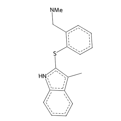 CNCc1ccccc1Sc1[nH]c2ccccc2c1C